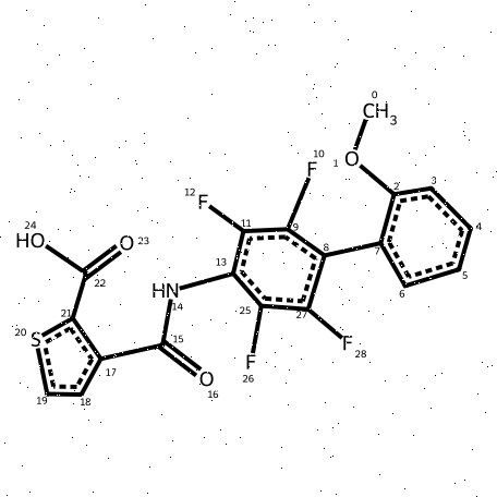 COc1ccccc1-c1c(F)c(F)c(NC(=O)c2ccsc2C(=O)O)c(F)c1F